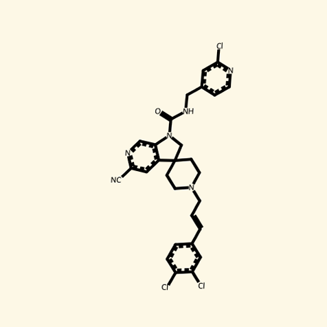 N#Cc1cc2c(cn1)N(C(=O)NCc1ccnc(Cl)c1)CC21CCN(CC=Cc2ccc(Cl)c(Cl)c2)CC1